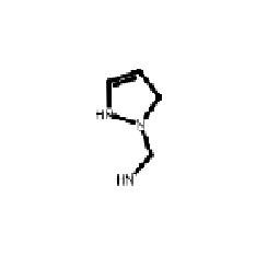 [NH]CN1CC=CN1